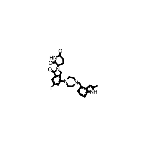 Cc1cc2c(CN3CCN(c4cc(F)cc5c4CN(C4CCC(=O)NC4=O)C5=O)CC3)cccc2[nH]1